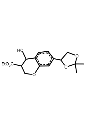 CCOC(=O)C1COc2cc(C3COC(C)(C)O3)ccc2C1O